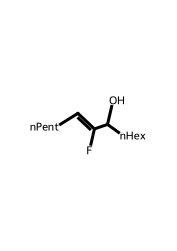 CCCCCC=C(F)C(O)CCCCCC